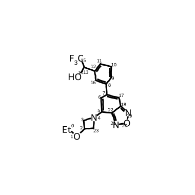 CCOC1CN(c2cc(-c3cccc(C(O)C(F)(F)F)c3)cc3nonc23)C1